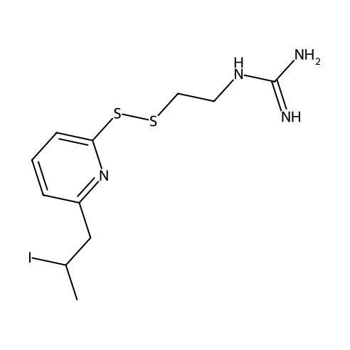 CC(I)Cc1cccc(SSCCNC(=N)N)n1